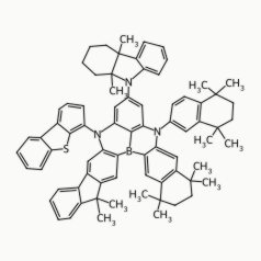 CC1(C)CCC(C)(C)c2cc(N3c4cc5c(cc4B4c6cc7c(cc6N(c6cccc8c6sc6ccccc68)c6cc(N8c9ccccc9C9(C)CCCCC89C)cc3c64)-c3ccccc3C7(C)C)C(C)(C)CCC5(C)C)ccc21